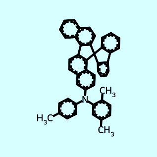 Cc1ccc(N(c2ccc3c4c(ccc3c2)-c2c(ccc3ccccc23)C42c3ccccc3-c3ccccc32)c2cc(C)ccc2C)cc1